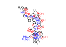 CC(C)C[C@H](NC(=O)[C@@H]1CCCN1C(=O)[C@H](Cc1ccccc1)NC(=O)[C@H](CC(C)C)NC(=O)[C@H](Cc1ccccc1)NC(=O)[C@H](CCC(=O)O)NC(=O)[C@H](CO)NC(=O)[C@H](CCC(=O)O)NC(=O)CNC(=O)[C@H](CCC(=O)O)NC(=O)[C@H](CC(C)C)NC(=O)[C@H](CCCNC(=N)N)NC(=O)[C@H](CC(C)C)NC(=O)CNC(=O)[C@@H](N)CC(=O)O)C(=O)O